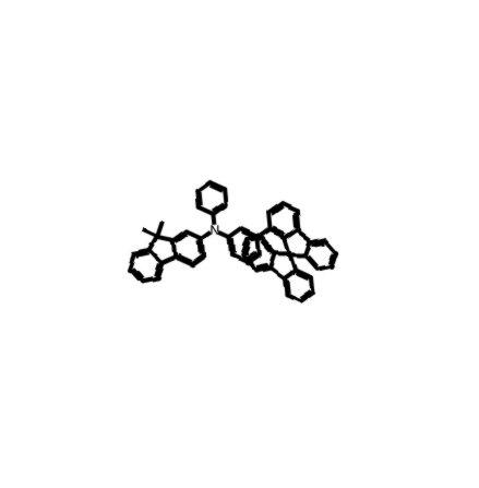 CC1(C)c2ccccc2-c2ccc(N(c3ccccc3)c3cccc(-c4cccc5c4C4(c6ccccc6-c6ccccc64)c4ccccc4-5)c3)cc21